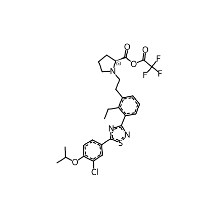 CCc1c(CCN2CCC[C@H]2C(=O)OC(=O)C(F)(F)F)cccc1-c1nsc(-c2ccc(OC(C)C)c(Cl)c2)n1